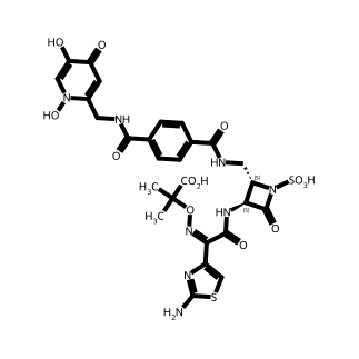 CC(C)(ON=C(C(=O)N[C@@H]1C(=O)N(S(=O)(=O)O)[C@H]1CNC(=O)c1ccc(C(=O)NCc2cc(=O)c(O)cn2O)cc1)c1csc(N)n1)C(=O)O